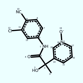 CC(O)(C(=O)Nc1ccc(C#N)c(Cl)c1)c1ccc[n+]([O-])c1